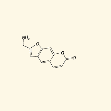 NCc1cc2cc3ccc(=O)oc3cc2o1